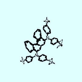 C[Si](C)(C)c1ccc(N(c2ccc([Si](C)(C)C)cc2)c2cc3cc(N(c4ccc([Si](C)(C)C)cc4)c4ccc([Si](C)(C)C)cc4)c4ccccc4c3c3ccccc23)cc1